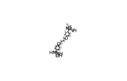 Cc1nc(-c2ccc(OCCCCOc3ccc(C(=N)NO)cc3)cc2)c(C(C)C)s1